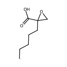 [CH2]CCCCC1(C(=O)O)CO1